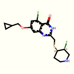 O=c1[nH]c(CS[C@@H]2CCNC[C@@H]2F)nc2cc(OCC3CC3)cc(F)c12